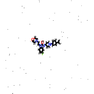 CC(C)C1CCC(N2CCC(n3c(=O)n(CCN4CCOCC4)c4ccc(F)cc43)CC2)CC1